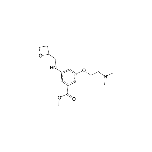 COC(=O)c1cc(NCC2CCO2)cc(OCCN(C)C)c1